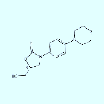 O=C1O[C@@H](CO)CN1c1ccc(N2CCSCC2)cc1